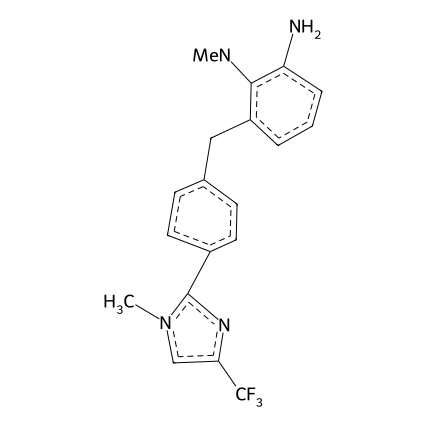 CNc1c(N)cccc1Cc1ccc(-c2nc(C(F)(F)F)cn2C)cc1